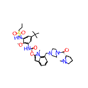 CCCS(=O)(=O)Nc1cc(C(C)(C)C)cc(NC(=O)Oc2cc3cccc(CN4CCN(C(=O)[C@@H]5CCCN5C)CC4)c3n2C)c1OC